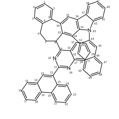 c1ccc2c(c1)CCC(c1nc(-c3cc4ccccc4c4ccccc34)nc3ccccc13)c1c-2cc2c3ccccc3n3c4cc5ccccc5cc4c1c23